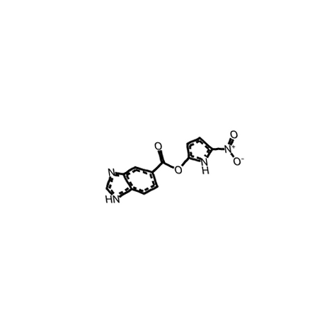 O=C(Oc1ccc([N+](=O)[O-])[nH]1)c1ccc2[nH]cnc2c1